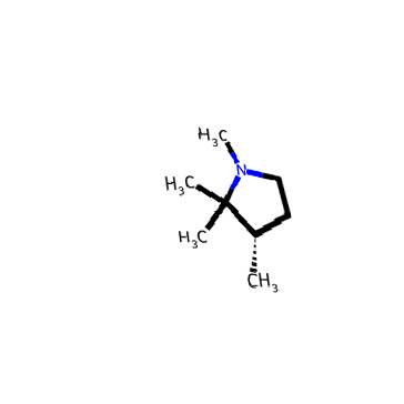 C[C@H]1CCN(C)C1(C)C